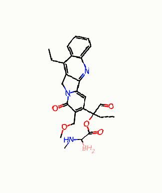 BC(NC)C(=O)OC(C=O)(CC)c1cc2n(c(=O)c1COC)Cc1c-2nc2ccccc2c1CC